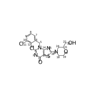 O=c1ncn(Cc2cccc(Cl)c2Cl)c2nc(N3CCOC(CO)C3)sc12